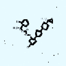 C[C@@H](OC(=O)NSc1cc(Cl)ccc1-c1ccc(-c2ccc(C3(C(=O)O)CC3)cc2)cc1)c1ccccc1Cl